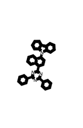 c1ccc(-c2nc(-c3ccccc3)nc(-c3ccc(-n4c5ccccc5c5ccccc54)c4ccccc34)n2)cc1